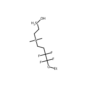 CCOC(F)(F)C(F)(F)CC[Si](C)(C)CC[SiH2]O